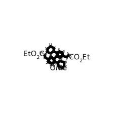 CCOC(=O)CCc1ccc(C2CCCCC2)c(-c2cc(CCC(=O)OCC)cc(OC)c2C2CCCCC2)c1